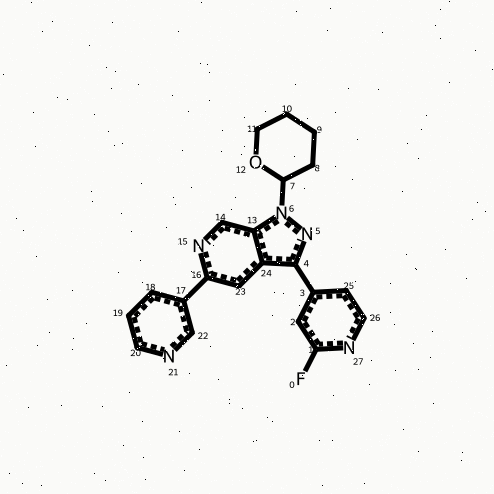 Fc1cc(-c2nn(C3CCCCO3)c3cnc(-c4cccnc4)cc23)ccn1